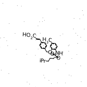 Cc1ccc(NS(=O)(=O)CCCC(C)C)c(OCc2ccc(C=CC(=O)O)cc2)c1